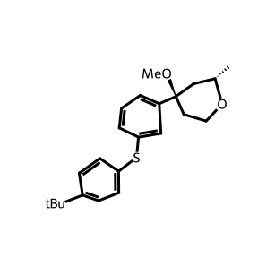 CO[C@]1(c2cccc(Sc3ccc(C(C)(C)C)cc3)c2)CCO[C@@H](C)C1